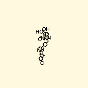 OC(O)c1ccc2nc(CC3CC=C(c4ccnc(OCc5ccc(Cl)cc5F)n4)CC3)n(C[C@@H]3CCO3)c2n1